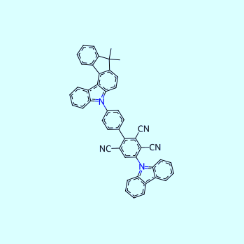 CC1(C)c2ccccc2-c2c1ccc1c2c2ccccc2n1-c1ccc(-c2c(C#N)cc(-n3c4ccccc4c4ccccc43)c(C#N)c2C#N)cc1